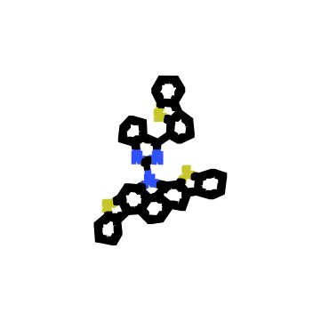 c1ccc2c(-c3cccc4c3sc3ccccc34)nc(-n3c4cc5sc6ccccc6c5c5ccc6cc7c8ccccc8sc7c3c6c54)nc2c1